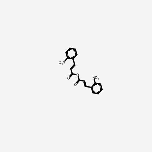 O=C(C=Cc1ccccc1[N+](=O)[O-])OC(=O)C=Cc1ccccc1[N+](=O)[O-]